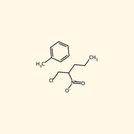 CCCC(CCl)[N+](=O)[O-].Cc1ccccc1